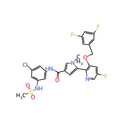 Cn1cc(C(=O)Nc2cc(Cl)cc(NS(C)(=O)=O)c2)cc1-c1ncc(F)cc1OCc1cc(F)cc(F)c1